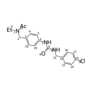 CCN(Cc1ccc(NC(=O)NCc2ccc(Cl)cc2)cc1)C(C)=O